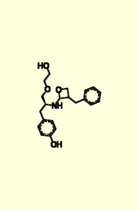 OCCOC[C@H](Cc1ccc(O)cc1)NC1OCC1Cc1ccccc1